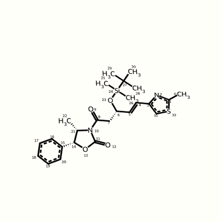 Cc1nc(/C=C/[C@H](CC(=O)N2C(=O)O[C@H](c3ccccc3)[C@@H]2C)O[Si](C)(C)C(C)(C)C)cs1